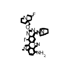 Cn1cc(-c2c(Cl)cc3c(N4CC5CCC(C4)N5)nc(OC[C@@]45CCCN4C[C@H](F)C5)nc3c2F)c2c(C#N)c(N)ccc21